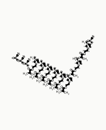 C=C(C)C(=O)OCC[n+]1ccn(C)c1.C=C(C)C(=O)OCC[n+]1ccn(C)c1.C=C(C)C(=O)OCC[n+]1ccn(C)c1.C=C(C)C(=O)OCC[n+]1ccn(C)c1.C=C(C)C(=O)OCC[n+]1ccn(C)c1.C=C(C)C(=O)OCC[n+]1ccn(C)c1.C=C(C)C(=O)OCC[n+]1ccn(C)c1.C=C(C)C(=O)OCC[n+]1ccn(C)c1.N#CB([O-])[O-].N#CB([O-])[O-].N#CB([O-])[O-].N#CB([O-])[O-]